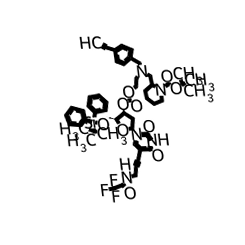 C#Cc1ccc(CN(CCOC(=O)O[C@H]2C[C@H](n3cc(C#CCNC(=O)C(F)(F)F)c(=O)[nH]c3=O)O[C@@H]2CO[Si](c2ccccc2)(c2ccccc2)C(C)(C)C)CC2CCCCN2C(=O)OC(C)(C)C)cc1